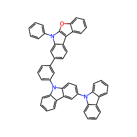 c1ccc(-n2c3cc(-c4cccc(-n5c6ccccc6c6cc(-n7c8ccccc8c8ccccc87)ccc65)c4)ccc3c3c4ccccc4oc32)cc1